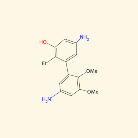 CCc1c(O)cc(N)cc1-c1cc(N)cc(OC)c1OC